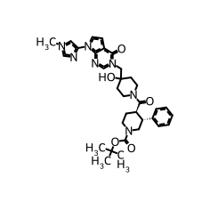 Cn1cnc(-n2ccc3c(=O)n(CC4(O)CCN(C(=O)[C@@H]5CCN(C(=O)OC(C)(C)C)C[C@H]5c5ccccc5)CC4)cnc32)c1